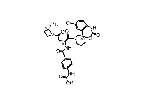 C[C@H]1CCN1C(=O)C[C@H](NC(=O)c1ccc(NC(=O)O)cc1)C(=O)N1CCC[C@@]2(C1)OC(=O)Nc1ccc(Cl)cc12